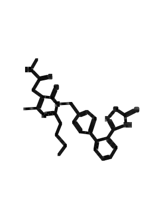 CCCCc1nc(C)c(CC(=S)NC)c(=O)n1Cc1ccc(-c2ccccc2-c2noc(=O)[nH]2)cc1